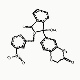 O=C1COc2ccc(C3(O)c4ccccc4C(=O)N3Cc3cccc([N+](=O)[O-])c3)cc2N1